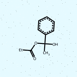 CCC(=O)OC(C)(O)c1ccccc1